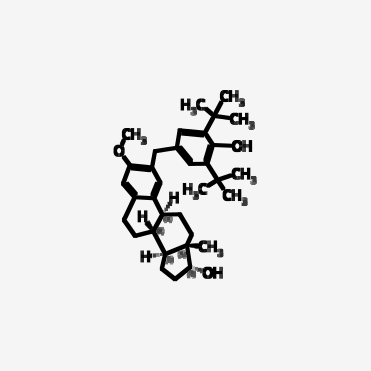 COc1cc2c(cc1Cc1cc(C(C)(C)C)c(O)c(C(C)(C)C)c1)[C@H]1CC[C@]3(C)[C@H](O)CC[C@H]3[C@@H]1CC2